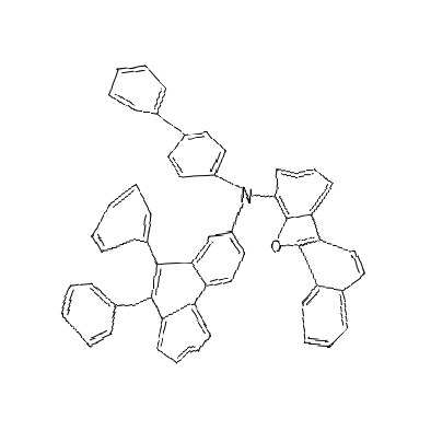 c1ccc(-c2ccc(N(c3ccc4c(c3)c(-c3ccccc3)c(-c3ccccc3)c3ccccc34)c3cccc4c3oc3c5ccccc5ccc43)cc2)cc1